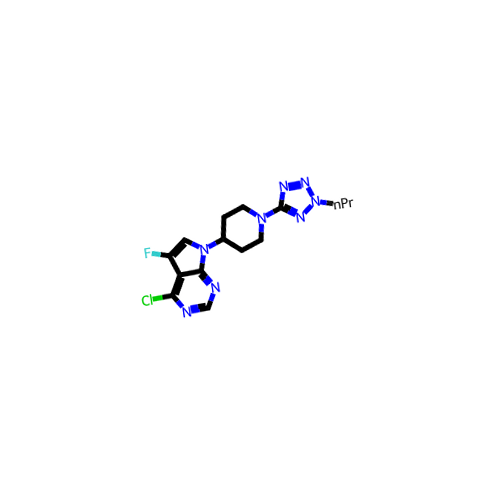 CCCn1nnc(N2CCC(n3cc(F)c4c(Cl)ncnc43)CC2)n1